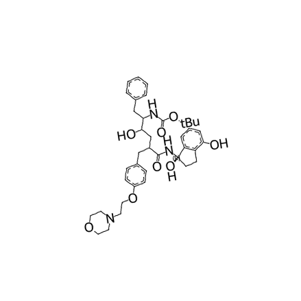 CC(C)(C)OC(=O)NC(Cc1ccccc1)C(O)CC(Cc1ccc(OCCN2CCOCC2)cc1)C(=O)N[C@@]1(O)CCc2c(O)cccc21